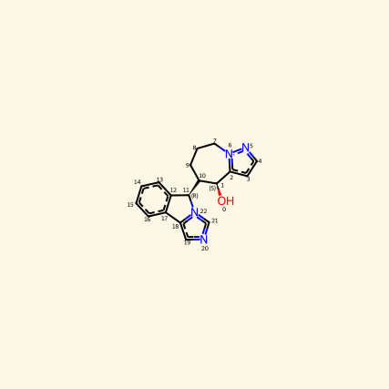 O[C@@H]1c2ccnn2CCCC1[C@@H]1c2ccccc2-c2cncn21